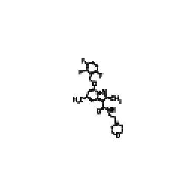 Cc1cc(OCc2c(F)ccc(F)c2F)n2nc(C)c(C(=O)NCCN3CCOCC3)c2c1